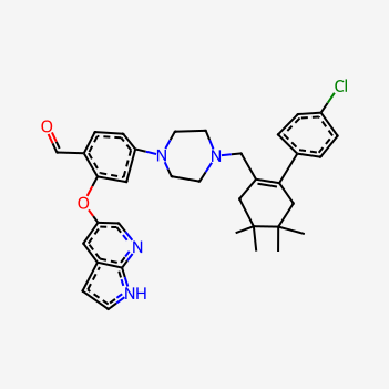 CC1(C)CC(CN2CCN(c3ccc(C=O)c(Oc4cnc5[nH]ccc5c4)c3)CC2)=C(c2ccc(Cl)cc2)CC1(C)C